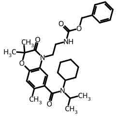 Cc1cc2c(cc1C(=O)N(C(C)C)C1CCCCC1)N(CCNC(=O)OCc1ccccc1)C(=O)C(C)(C)O2